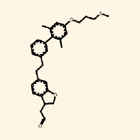 CSCCCOc1cc(C)c(-c2cccc(CCc3ccc4c(c3)OCC4CC=O)c2)c(C)c1